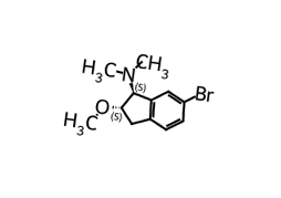 CO[C@H]1Cc2ccc(Br)cc2[C@@H]1N(C)C